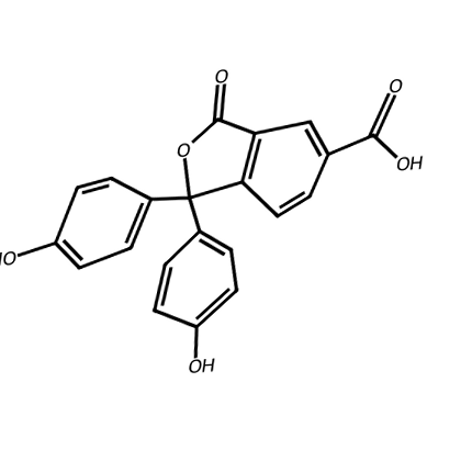 O=C(O)c1ccc2c(c1)C(=O)OC2(c1ccc(O)cc1)c1ccc(O)cc1